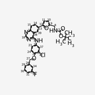 CC(C)(C)OC(=O)NCc1ccc(-c2ccc3ncnc(Nc4ccc(OCc5cccc(F)c5)c(Cl)c4)c3c2)o1